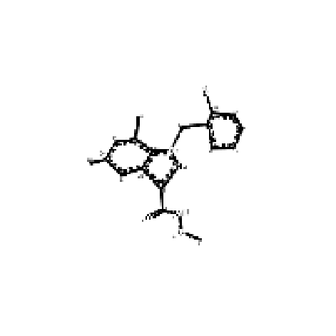 CONC(=O)c1nn(Cc2ccccc2Cl)c2c(C)cc(C)cc12